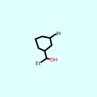 CCC(O)C1CCCC(C(C)C)C1